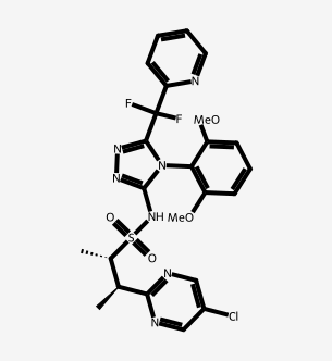 COc1cccc(OC)c1-n1c(NS(=O)(=O)[C@@H](C)[C@H](C)c2ncc(Cl)cn2)nnc1C(F)(F)c1ccccn1